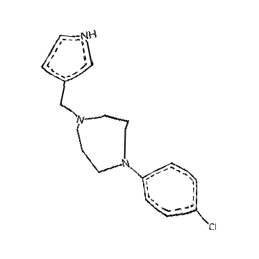 Clc1ccc(N2CCN(Cc3cc[nH]c3)CC2)cc1